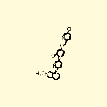 CN1CC2CCCN(c3ccc(-n4ccc(OCc5ccc(Cl)cn5)cc4=O)cn3)C2C1